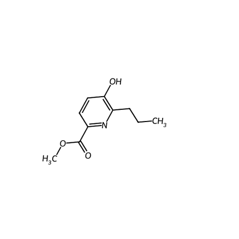 CCCc1nc(C(=O)OC)ccc1O